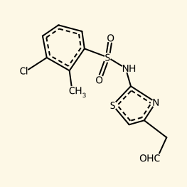 Cc1c(Cl)cccc1S(=O)(=O)Nc1nc(CC=O)cs1